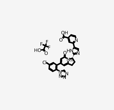 O=C(O)C(F)(F)F.O=C(O)c1ccnc(-c2cnc([C@@H]3CCc4cc(-c5cc(Cl)ccc5-n5cnnn5)cc(=O)n43)[nH]2)c1